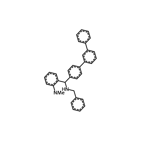 CNc1ccccc1C(NCc1ccccc1)c1ccc(-c2cccc(-c3ccccc3)c2)cc1